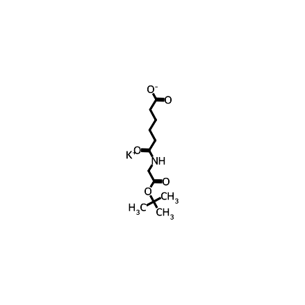 CC(C)(C)OC(=O)CNC(=O)CCCCC(=O)[O-].[K+]